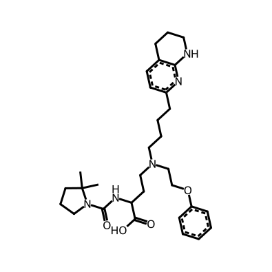 CC1(C)CCCN1C(=O)NC(CCN(CCCCc1ccc2c(n1)NCCC2)CCOc1ccccc1)C(=O)O